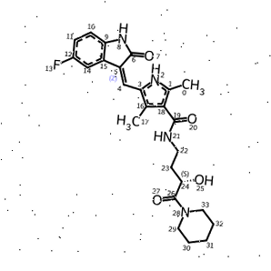 Cc1[nH]c(/C=C2\C(=O)Nc3ccc(F)cc32)c(C)c1C(=O)NCC[C@H](O)C(=O)N1CCCCC1